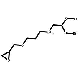 CCOC(C[SiH2]CCCOCC1CO1)OCC